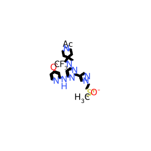 CC(=O)N1CCC2(CC1)CN(c1cc(Nc3cc(OC(F)(F)F)ccn3)nc(-c3cnn(CC[S+](C)[O-])c3)n1)C2